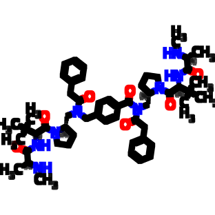 CN[C@@H](C)C(=O)N[C@H](C(=O)N1CCC[C@H]1CN(Cc1ccc(C(=O)N(C[C@@H]2CCCN2C(=O)[C@@H](NC(=O)[C@H](C)NC)C(C)(C)C)C(=O)Cc2ccccc2)cc1)C(=O)Cc1ccccc1)C(C)(C)C